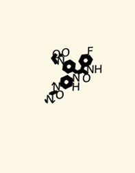 CN(C)CC(=O)N(C)c1ccc(N/C(=C2\C(=O)Nc3cc(F)ccc32)c2ccc(N3CCOC3=O)cc2)cc1